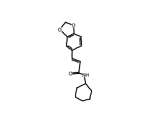 O=C(/C=C/c1ccc2c(c1)OCO2)NC1CCCCC1